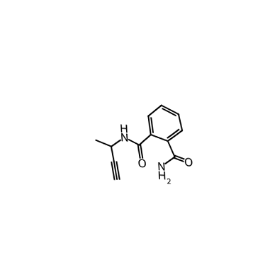 C#CC(C)NC(=O)c1ccccc1C(N)=O